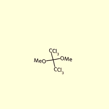 COC(OC)(C(Cl)(Cl)Cl)C(Cl)(Cl)Cl